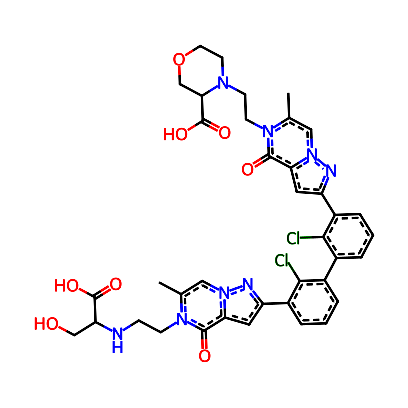 Cc1cn2nc(-c3cccc(-c4cccc(-c5cc6c(=O)n(CCN7CCOCC7C(=O)O)c(C)cn6n5)c4Cl)c3Cl)cc2c(=O)n1CCNC(CO)C(=O)O